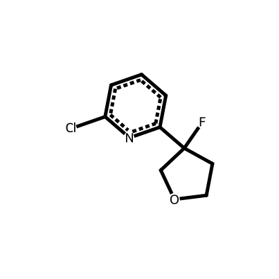 FC1(c2cccc(Cl)n2)CCOC1